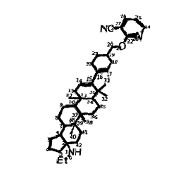 CCNC12CCCC1C1CCC3C4(C)CC=C(C5=CCC(COc6ncccc6C#N)CC5)C(C)(C)C4CCC3(C)[C@]1(C)CC2